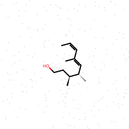 C/C=C\C(C)=C\[C@H](C)[C@@H](C)CCO